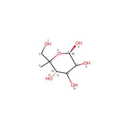 CC1(CO)O[C@@H](O)C(O)C(O)[C@@H]1O